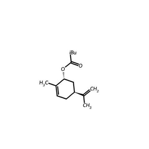 C=C(C)[C@H]1CC=C(C)[C@H](OC(=O)C(C)CC)C1